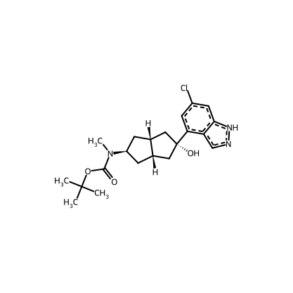 CN(C(=O)OC(C)(C)C)[C@H]1C[C@@H]2C[C@@](O)(c3cc(Cl)cc4[nH]ncc34)C[C@@H]2C1